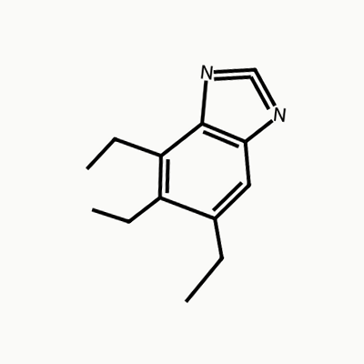 CCc1cc2c(c(CC)c1CC)N=C=N2